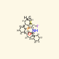 CCS/C=C(/NC(=O)c1ccccc1)[P+](c1ccccc1)(c1ccccc1)c1ccccc1.[I-]